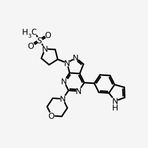 CS(=O)(=O)N1CCC(n2ncc3c(-c4ccc5cc[nH]c5c4)nc(N4CCOCC4)nc32)C1